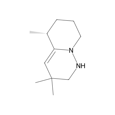 C[C@@H]1CCCN2NCC(C)(C)C=C12